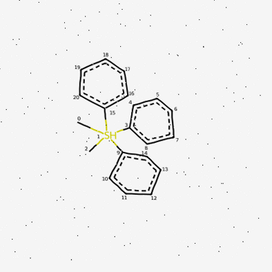 C[SH](C)(c1ccccc1)(c1ccccc1)c1ccccc1